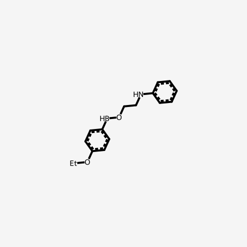 [CH2]COc1ccc(BOCCNc2ccccc2)cc1